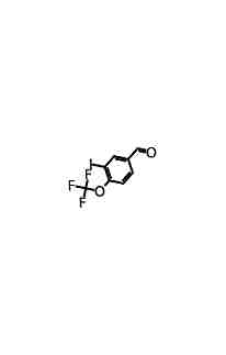 O=Cc1ccc(OC(F)(F)F)c(I)c1